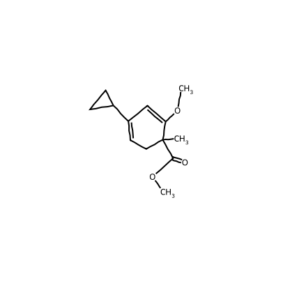 COC(=O)C1(C)CC=C(C2CC2)C=C1OC